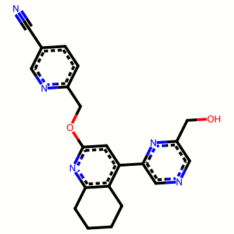 N#Cc1ccc(COc2cc(-c3cncc(CO)n3)c3c(n2)CCCC3)nc1